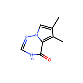 Cc1cn2nc[nH]c(=O)c2c1C